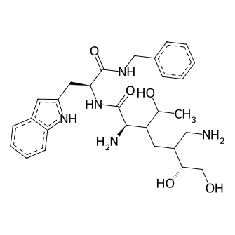 CC(O)C(CC(CN)[C@@H](O)CO)[C@@H](N)C(=O)N[C@@H](Cc1cc2ccccc2[nH]1)C(=O)NCc1ccccc1